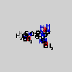 COc1cncc(-c2cc3cc[nH]c(=O)c3c(Nc3ccc(C4CCN(C(C)C(=O)N(C)C)CC4)c(C)c3)n2)n1